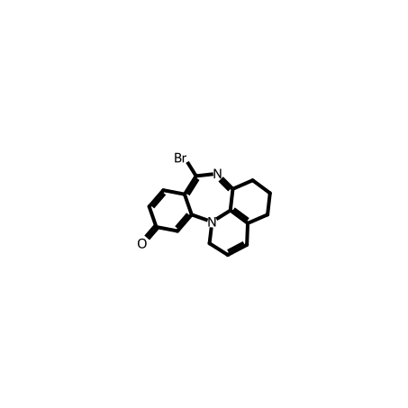 O=C1C=CC2=C(Br)N=C3CCCC4=C3N(CC=C4)C2=C1